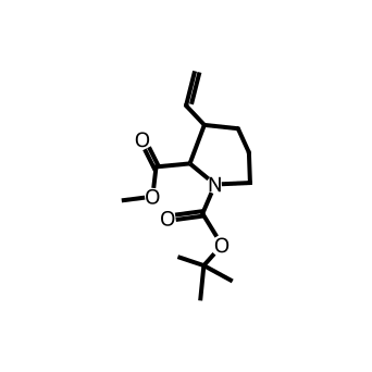 C=CC1CCCN(C(=O)OC(C)(C)C)C1C(=O)OC